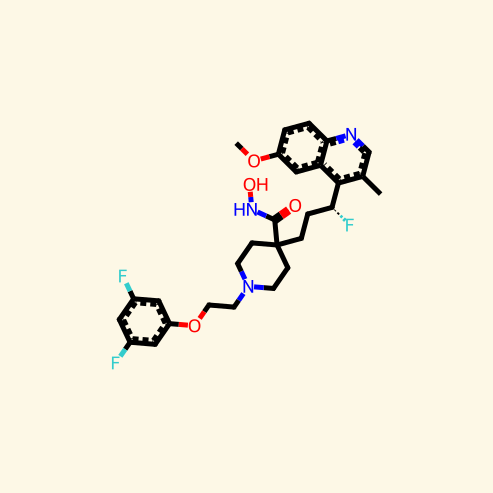 COc1ccc2ncc(C)c([C@H](F)CCC3(C(=O)NO)CCN(CCOc4cc(F)cc(F)c4)CC3)c2c1